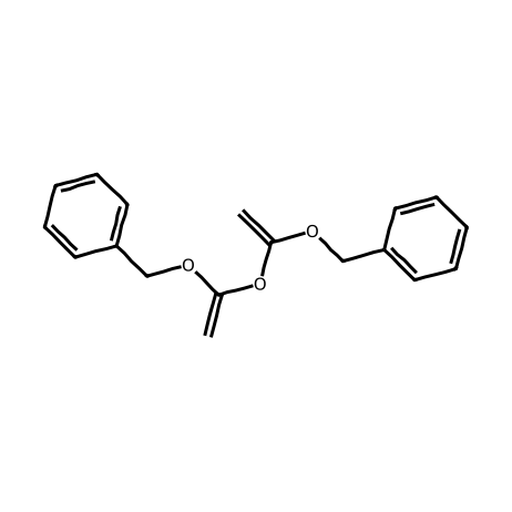 C=C(OCc1ccccc1)OC(=C)OCc1ccccc1